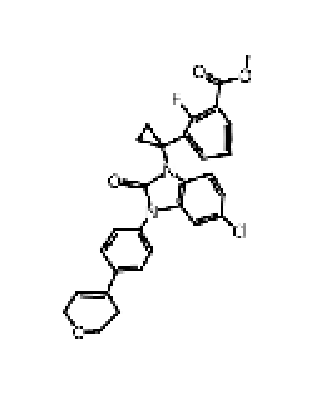 COC(=O)c1cccc(C2(n3c(=O)n(-c4ccc(C5=CCOCC5)cc4)c4cc(Cl)ccc43)CC2)c1F